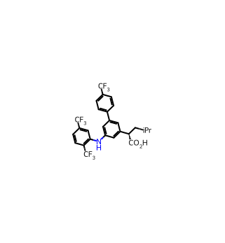 CC(C)C[C@@H](C(=O)O)c1cc(Nc2cc(C(F)(F)F)ccc2C(F)(F)F)cc(-c2ccc(C(F)(F)F)cc2)c1